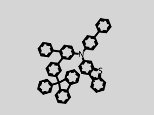 c1ccc(-c2ccc(N(c3ccc(-c4ccccc4)c(-c4cccc(C5(c6ccccc6)c6ccccc6-c6ccccc65)c4)c3)c3ccc4c(c3)sc3ccccc34)cc2)cc1